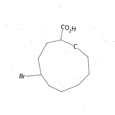 O=C(O)C1CCCCCCC(Br)CC1